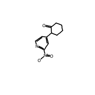 O=C1CCCCC1c1ccnc([N+](=O)[O-])c1